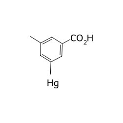 Cc1cc(C)cc(C(=O)O)c1.[Hg]